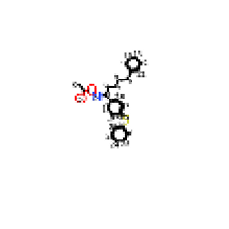 CC(=O)O/N=C(\CC/C=C/c1ccccc1)c1ccc(Sc2ccccc2)cc1